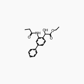 CCOC(=O)C(O)c1ccc(-c2ccccc2)cc1NC(=O)CC